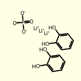 O=P([O-])([O-])[O-].Oc1ccccc1O.Oc1ccccc1O.[Li+].[Li+].[Li+]